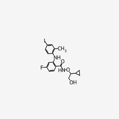 Cc1cc(I)ccc1Nc1cc(F)ccc1C(=O)NOC(CO)C1CC1